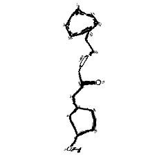 O=C(CC1CCC(O)C1)OCc1ccccc1